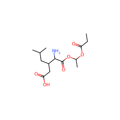 CCC(=O)OC(C)OC(=O)C(N)C(CC(=O)O)CC(C)C